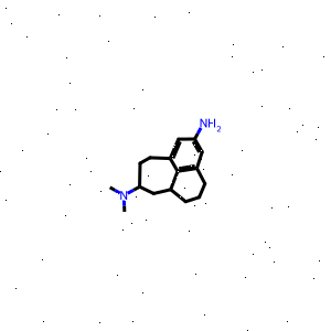 CN(C)C1CCc2cc(N)cc3c2C(CCC3)C1